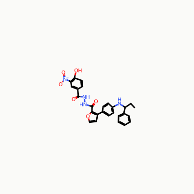 CCC(Nc1ccc(-c2ccoc2C(=O)NNC(=O)c2ccc(O)c([N+](=O)[O-])c2)cc1)c1ccccc1